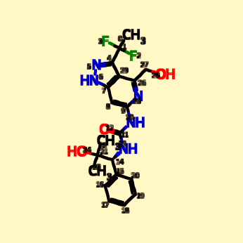 CC(F)(F)c1n[nH]c2cc(NC(=O)N[C@@H](c3ccccc3)C(C)(C)O)nc(CO)c12